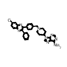 Nc1ncnc2c1ncn2C1CCN(Cc2ccc(-c3nc4cc(Cl)ccc4nc3-c3ccccc3)cc2)CC1